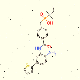 CCC(C)(C)P(=O)(O)Cc1ccc(C(=O)Nc2cc(-c3cccs3)ccc2N)cc1